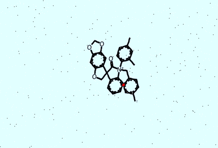 [CH]c1ccc(C[N+]2(c3ccc(C)cc3C)C(=O)C3(COc4cc5c(cc43)OCO5)c3ccccc32)cc1